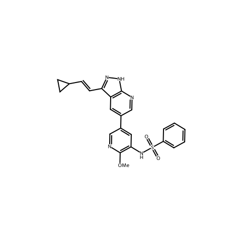 COc1ncc(-c2cnc3[nH]nc(C=CC4CC4)c3c2)cc1NS(=O)(=O)c1ccccc1